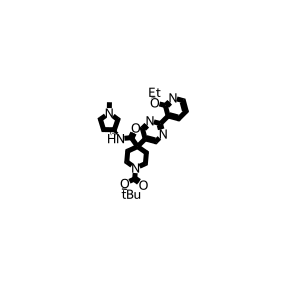 CCOc1ncccc1-c1ncc(C2(C(=O)N[C@H]3CCN(C)C3)CCN(C(=O)OC(C)(C)C)CC2)cn1